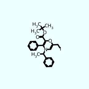 CC(c1ccccc1)N1C=C(CI)OC(C(=O)OC(C)(C)C)=C1c1ccccc1